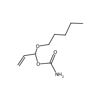 C=C[C](OCCCCC)OC(N)=O